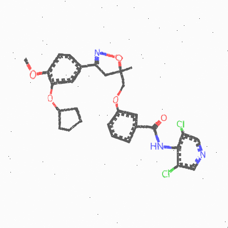 COc1ccc(C2=NOC(C)(COc3cccc(C(=O)Nc4c(Cl)cncc4Cl)c3)C2)cc1OC1CCCC1